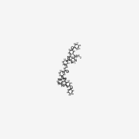 Nc1ncnc2c1c(-c1ccc(Oc3ccccc3)cc1)nn2[C@@H]1CCCN(CCC(=O)N2CCC[C@@H](n3nc(-c4ccc(Oc5ccccc5)cc4)c4c(N)ncnc43)C2)C1